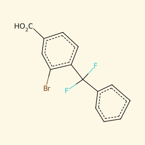 O=C(O)c1ccc(C(F)(F)c2ccccc2)c(Br)c1